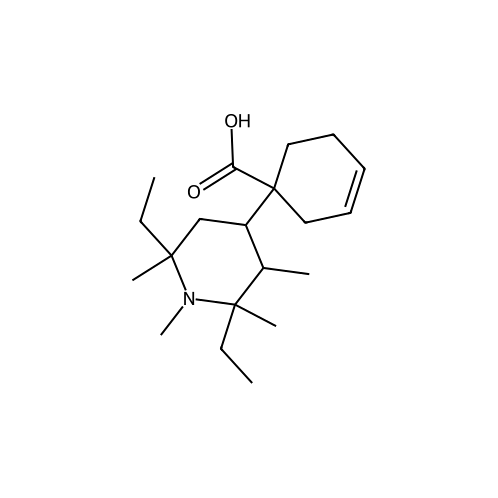 CCC1(C)CC(C2(C(=O)O)CC=CCC2)C(C)C(C)(CC)N1C